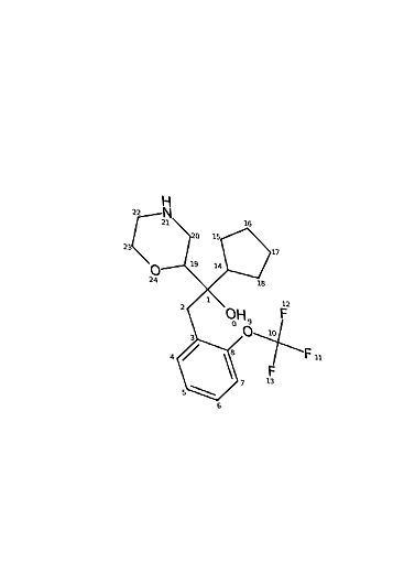 OC(Cc1ccccc1OC(F)(F)F)(C1CCCC1)C1CNCCO1